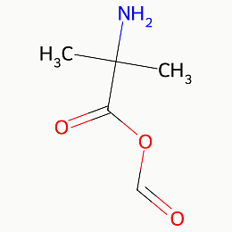 CC(C)(N)C(=O)OC=O